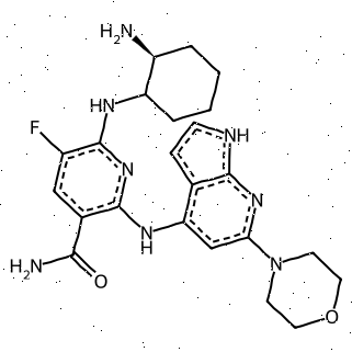 NC(=O)c1cc(F)c(NC2CCCC[C@@H]2N)nc1Nc1cc(N2CCOCC2)nc2[nH]ccc12